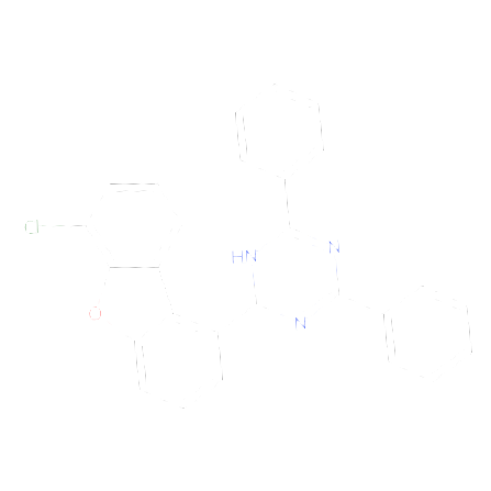 Clc1cccc2c1oc1cccc(C3N=C(c4ccccc4)N=C(c4ccccc4)N3)c12